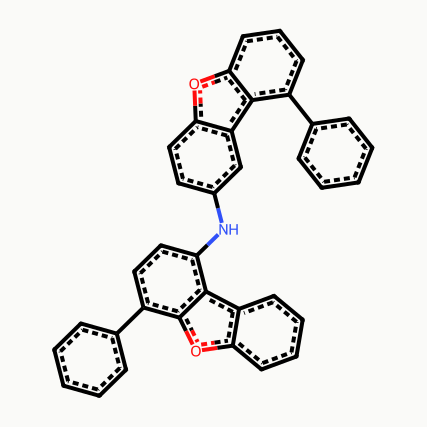 c1ccc(-c2ccc(Nc3ccc4oc5cccc(-c6ccccc6)c5c4c3)c3c2oc2ccccc23)cc1